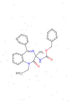 CCOC(=O)CN1C(=O)C(C)(NC(=O)OCc2ccccc2)N=C(c2ccccc2)c2ccccc21